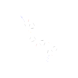 [N-]=[N+]=C1C=Cc2c(cccc2S(=O)(=O)Oc2ccc(C(=O)c3ccc(OS(=O)(=O)c4cccc5c4C=CC(=[N+]=[N-])C5=O)cc3)cc2)C1=O